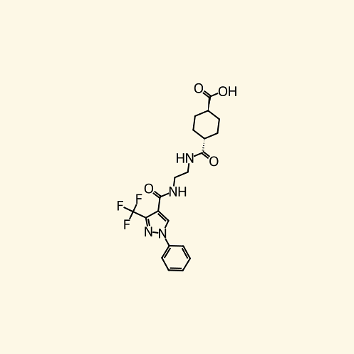 O=C(NCCNC(=O)[C@H]1CC[C@H](C(=O)O)CC1)c1cn(-c2ccccc2)nc1C(F)(F)F